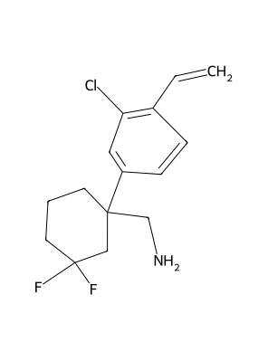 C=Cc1ccc(C2(CN)CCCC(F)(F)C2)cc1Cl